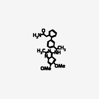 COc1cc2nc(C)nc(NC(C)c3cccc(-c4ccccc4CC(N)=O)c3)c2cc1OC